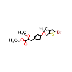 CCOC(=O)[C@H](Cc1ccc(OCC2=C(C)CC(Br)S2)cc1)OCC